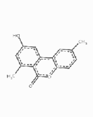 Cc1ccc2oc(=O)c3c(C)cc(O)cc3c2c1